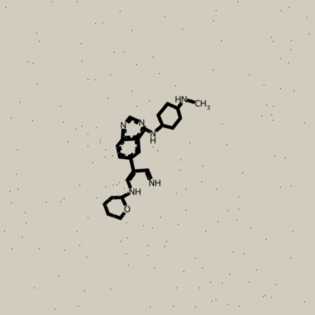 CNC1CCC(Nc2ncnc3ccc(/C(C=N)=C/NC4CCCCO4)cc23)CC1